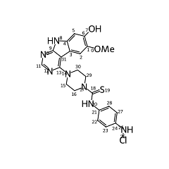 COc1cc2c(cc1O)[nH]c1ncnc(N3CCN(C(=S)Nc4ccc(NCl)cc4)CC3)c12